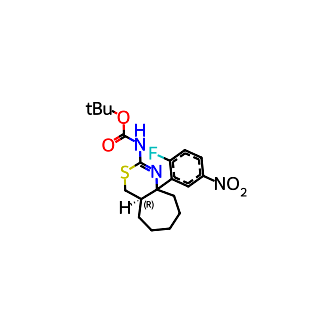 CC(C)(C)OC(=O)NC1=NC2(c3cc([N+](=O)[O-])ccc3F)CCCCC[C@H]2CS1